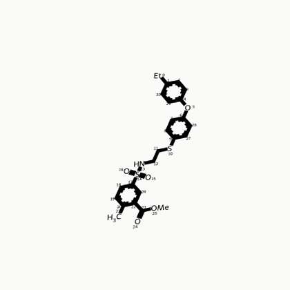 CCc1ccc(Oc2ccc(SCCNS(=O)(=O)c3ccc(C)c(C(=O)OC)c3)cc2)cc1